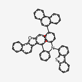 c1ccc(N(c2ccc(-c3cc4ccccc4c4ccccc34)cc2)c2cccc3c2sc2ccccc23)c(-c2cccc3oc4c5ccccc5ccc4c23)c1